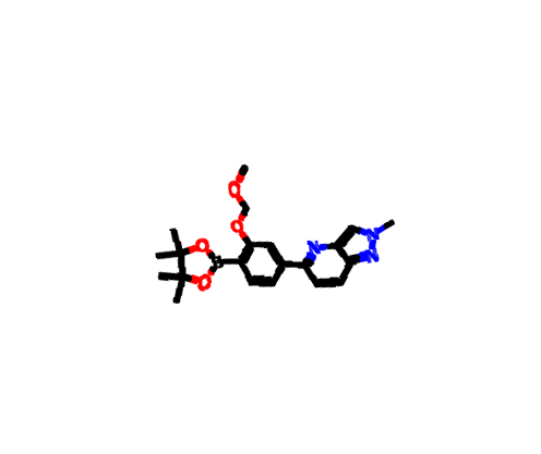 COCOc1cc(-c2ccc3nn(C)cc3n2)ccc1B1OC(C)(C)C(C)(C)O1